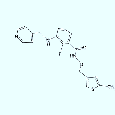 Cc1nc(CONC(=O)c2cccc(NCc3ccncc3)c2F)cs1